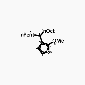 CCCCCCCCC(CCCCC)c1ccsc1OC